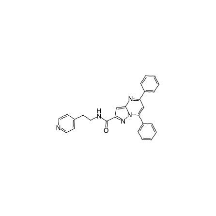 O=C(NCCc1ccncc1)c1cc2nc(-c3ccccc3)cc(-c3ccccc3)n2n1